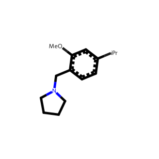 COc1cc(C(C)C)ccc1CN1CCCC1